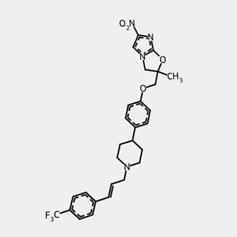 CC1(COc2ccc(C3CCN(CC=Cc4ccc(C(F)(F)F)cc4)CC3)cc2)Cn2cc([N+](=O)[O-])nc2O1